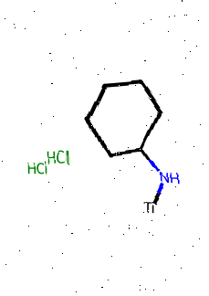 Cl.Cl.[Ti][NH]C1CCCCC1